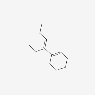 CC/C=C(\CC)C1=CCCCC1